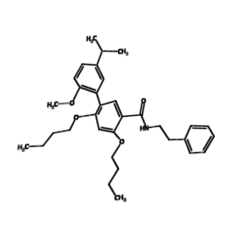 CCCCOc1cc(OCCCC)c(-c2cc(C(C)C)ccc2OC)cc1C(=O)NCCc1ccccc1